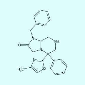 Cc1coc(C2(c3ccccc3)CNCC3N(Cc4ccccc4)C(=O)CN32)n1